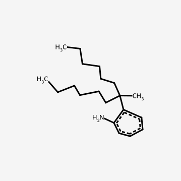 CCCCCCC(C)(CCCCCC)c1ccccc1N